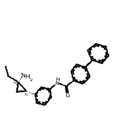 CC[C@]1(N)C[C@H]1c1cccc(NC(=O)c2ccc(-c3ccccc3)cc2)c1